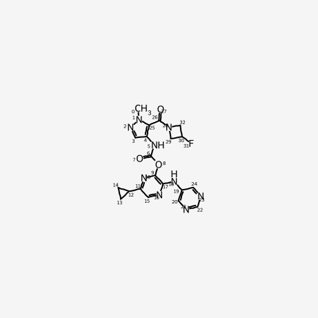 Cn1ncc(NC(=O)Oc2nc(C3CC3)cnc2Nc2cncnc2)c1C(=O)N1CC(F)C1